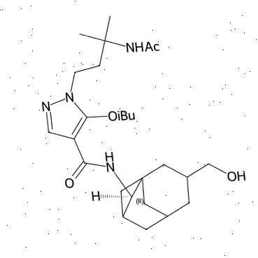 CC(=O)NC(C)(C)CCn1ncc(C(=O)N[C@@H]2C3CC4CC(CO)CC2(C4)C3)c1OCC(C)C